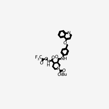 CC(C)COC(=O)N1CCC(C(=O)NOC(=O)C(F)(F)F)C(C(=O)Nc2ccc(COc3ccnc4ccccc34)cc2)C1